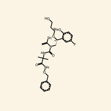 C=C(S)N(C[C@H](OCCCO)c1cc(F)ccc1OC)C(=O)NC(C)(C)C(=O)NOCc1ccccc1